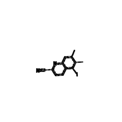 Cc1cc2nc(C#N)ccc2c(I)c1C